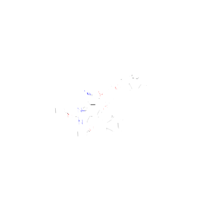 COc1nc(OC)c2ccc(C3(C#N)OC(COCc4ccccc4)CC3OCc3ccccc3)cc2n1